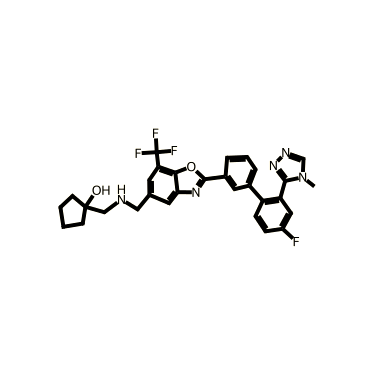 Cn1cnnc1-c1cc(F)ccc1-c1cccc(-c2nc3cc(CNCC4(O)CCCC4)cc(C(F)(F)F)c3o2)c1